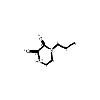 [CH2]CCN1CCNC(=O)C1=O